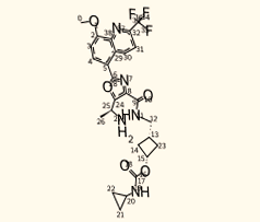 COc1ccc(-c2nc(C(=O)NC[C@H]3C[C@@H](OC(=O)NC4CC4)C3)c([C@H](C)N)o2)c2ccc(C(F)(F)F)nc12